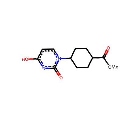 COC(=O)C1CCC(n2ccc(O)nc2=O)CC1